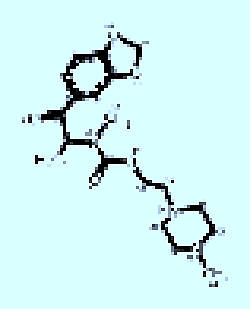 CC(C(=O)c1ccc2c(c1)OCO2)N(C)C(=O)OCCN1CCN(C)CC1